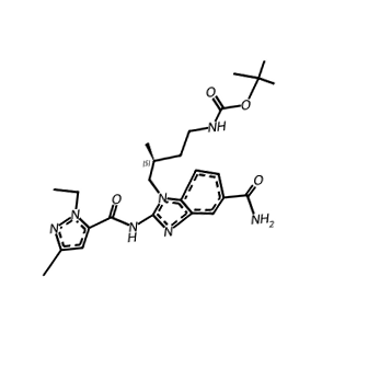 CCn1nc(C)cc1C(=O)Nc1nc2cc(C(N)=O)ccc2n1C[C@@H](C)CCNC(=O)OC(C)(C)C